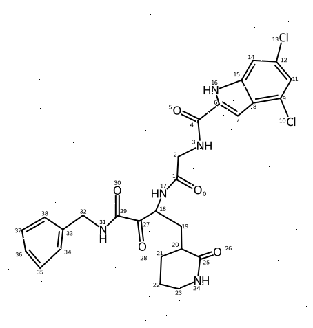 O=C(CNC(=O)c1cc2c(Cl)cc(Cl)cc2[nH]1)NC(CC1CCCNC1=O)C(=O)C(=O)NCc1ccccc1